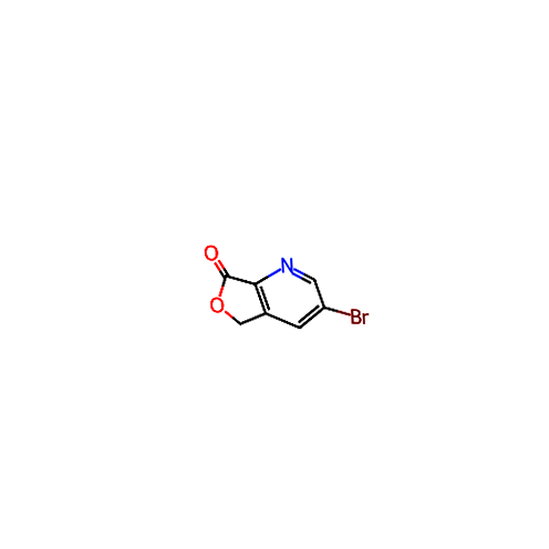 O=C1OCc2cc(Br)cnc21